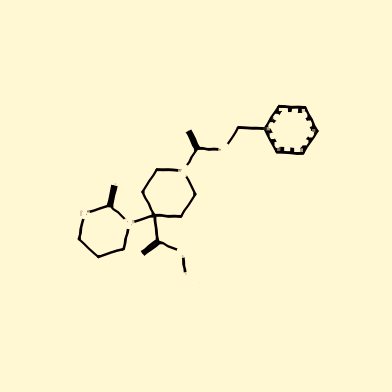 COC(=O)C1(N2CCCNC2=O)CCN(C(=O)OCc2ccccc2)CC1